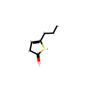 CCCC1=CCC(=O)S1